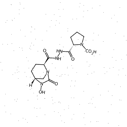 O=C(NNC(=O)[C@@H]1CC[C@@H]2CN1C(=O)N2O)[C@@H]1CCCN1C(=O)O